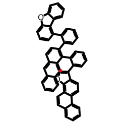 c1ccc(-c2cccc3oc4ccccc4c23)c(-c2ccc3cc4ccccc4cc3c2-c2ccccc2-c2coc3c2ccc2c4ccccc4ccc23)c1